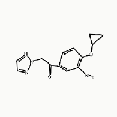 Nc1cc(C(=O)Cn2nccn2)ccc1OC1CC1